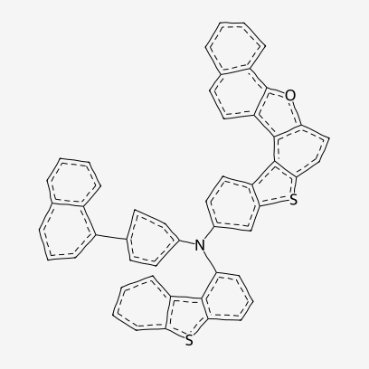 c1ccc2c(-c3ccc(N(c4ccc5c(c4)sc4ccc6oc7c8ccccc8ccc7c6c45)c4cccc5sc6ccccc6c45)cc3)cccc2c1